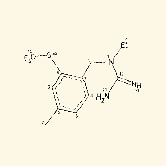 CCN(Cc1ccc(C)cc1SC(F)(F)F)C(=N)N